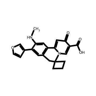 CNc1cc2c(cc1-c1ccoc1)CC1(CCC1)n1cc(C(=O)O)c(=O)cc1-2